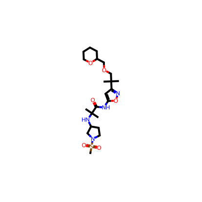 CC(C)(NC1CCN(S(C)(=O)=O)C1)C(=O)Nc1cc(C(C)(C)COCC2CCCCO2)no1